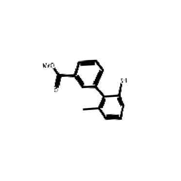 COC(=O)c1cccc(-c2c(C)cccc2S)c1